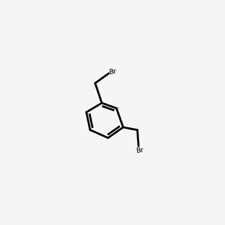 BrCc1[c]c(CBr)ccc1